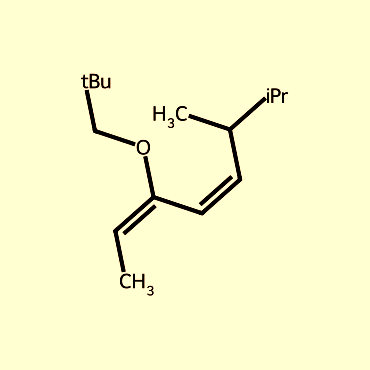 C/C=C(\C=C/C(C)C(C)C)OCC(C)(C)C